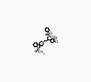 CN(CC(CCN1CCC2(CC1)CN([S+](C)[O-])c1ccccc12)c1ccc(Cl)c(Cl)c1)S(=O)(=O)c1ccccc1